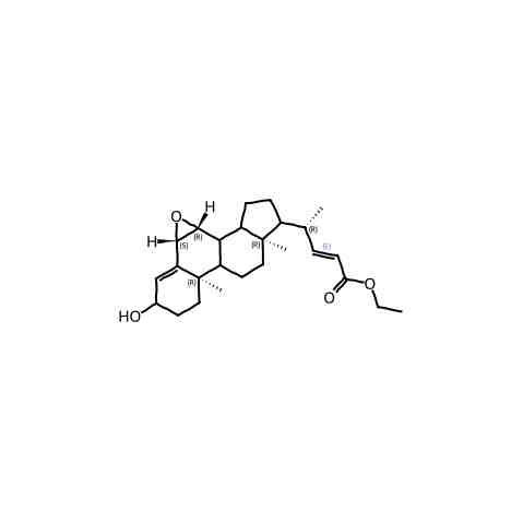 CCOC(=O)/C=C/[C@@H](C)C1CCC2C3C(CC[C@@]21C)[C@@]1(C)CCC(O)C=C1[C@@H]1O[C@H]31